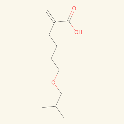 C=C(CCCCOCC(C)C)C(=O)O